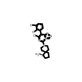 N[C@@H]1CCCC12CCN(c1nc(Cl)c(-c3cccc(Cl)c3Cl)c3nncn13)CC2